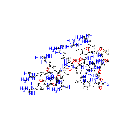 CC(=O)c1ccc(C[C@H](NC(=O)COCCNC(=O)[C@@H](CS)NC(=O)[C@@H](CCCNC(=N)N)NC(=O)[C@@H](CCCNC(=N)N)NC(=O)[C@@H](CCCNC(=N)N)NC(=O)[C@@H](CCCNC(=N)N)NC(=O)[C@@H](CCCNC(=N)N)NC(=O)[C@@H](CCCNC(=N)N)NC(=O)[C@@H](CCCNC(=N)N)NC(=O)[C@@H](CCCNC(=N)N)NC(=O)[C@@H](CCCNC(=N)N)NC(=O)CNC(=O)C(C)C)C(N)=O)cc1